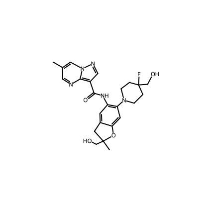 Cc1cnc2c(C(=O)Nc3cc4c(cc3N3CCC(F)(CO)CC3)OC(C)(CO)C4)cnn2c1